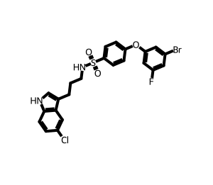 O=S(=O)(NCCCc1c[nH]c2ccc(Cl)cc12)c1ccc(Oc2cc(F)cc(Br)c2)cc1